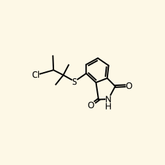 CC(Cl)C(C)(C)Sc1cccc2c1C(=O)NC2=O